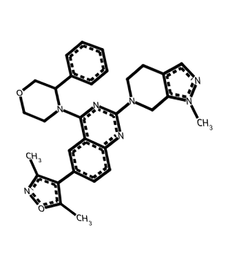 Cc1noc(C)c1-c1ccc2nc(N3CCc4cnn(C)c4C3)nc(N3CCOCC3c3ccccc3)c2c1